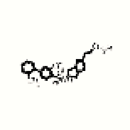 Cc1ccccc1-c1ccc(S(=O)(=O)NC2Cc3ccc(C=CC(=O)O)cc3C2)c(C(F)(F)F)c1